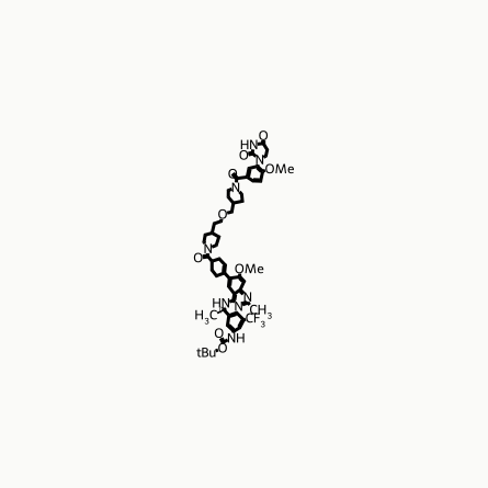 COc1cc2nc(C)nc(N[C@H](C)c3cc(NC(=O)OC(C)(C)C)cc(C(F)(F)F)c3)c2cc1C1=CCC(C(=O)N2CCC(CCOCC3CCN(C(=O)c4ccc(OC)c(N5CCC(=O)NC5=O)c4)CC3)CC2)CC1